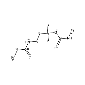 CCNC(=O)OC(C)(C)CCNC(=O)CC(C)C